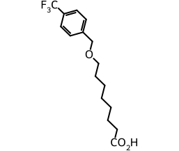 O=C(O)CCCCCCCOCc1ccc(C(F)(F)F)cc1